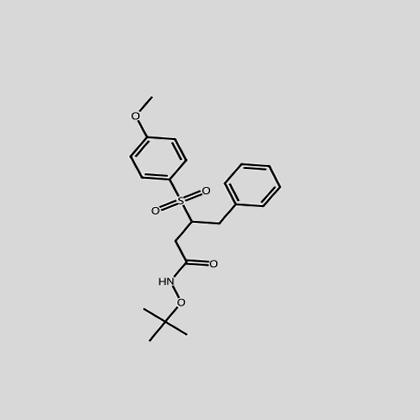 COc1ccc(S(=O)(=O)C(CC(=O)NOC(C)(C)C)Cc2ccccc2)cc1